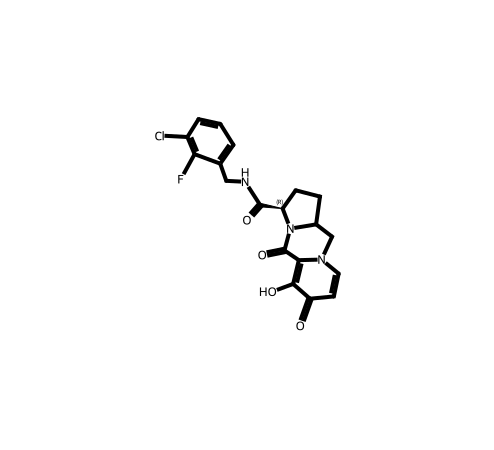 O=C(NCc1cccc(Cl)c1F)[C@H]1CCC2Cn3ccc(=O)c(O)c3C(=O)N21